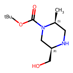 C[C@H]1CN[C@@H](CO)CN1C(=O)OC(C)(C)C